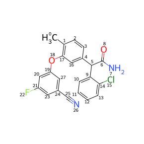 Cc1ccc(C(C(N)=O)c2ccccc2Cl)cc1Oc1cc(F)cc(C#N)c1